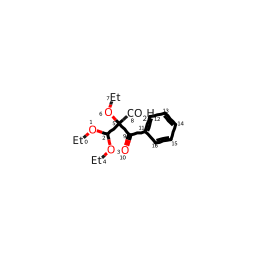 CCOC(OCC)C(OCC)(C(=O)O)C(=O)c1ccccc1